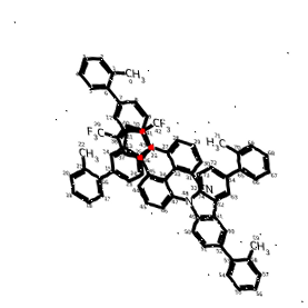 Cc1ccccc1-c1ccc2c(c1)c1cc(-c3ccccc3C)ccc1n2-c1cccc(C#N)c1-c1c(-c2cc(C(F)(F)F)cc(C(F)(F)F)c2)cccc1-n1c2ccc(-c3ccccc3C)cc2c2cc(-c3ccccc3C)ccc21